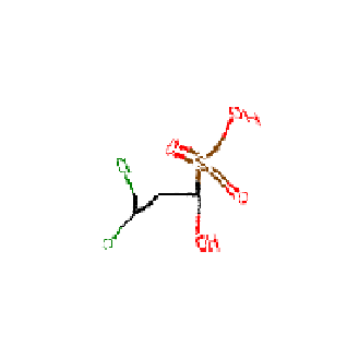 O=S(=O)(O)C(O)C(Cl)Cl